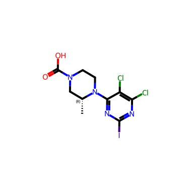 C[C@@H]1CN(C(=O)O)CCN1c1nc(I)nc(Cl)c1Cl